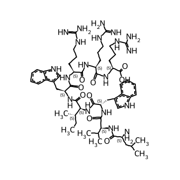 CC[C@H](C)[C@H](NC(=O)[C@H](Cc1c[nH]c2ccccc12)NC(=O)[C@@H](NC(=O)[C@@H](N)CC(C)C)C(C)C)C(=O)N[C@@H](Cc1c[nH]c2ccccc12)C(=O)N[C@@H](CCCNC(=N)N)C(=O)N[C@@H](CCCNC(=N)N)C(=O)N[C@@H](CCCNC(=N)N)C(=O)O